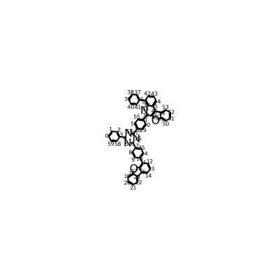 c1ccc(-c2nc(-c3ccc(-c4cccc5c4oc4ccccc45)cc3)nc(-c3ccc(-c4nc5c(-c6ccccc6)cccc5c5c4oc4ccccc45)cc3)n2)cc1